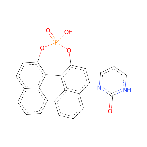 O=P1(O)Oc2ccc3ccccc3c2-c2c(ccc3ccccc23)O1.O=c1nccc[nH]1